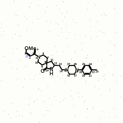 C=C(/C=C\OC)N1CCC2(CC1)CC(CCN1CCN(c3ccc(C)cc3)CC1)NC2=O